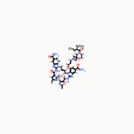 CCc1nc(C)oc1C(=O)Nc1nc2cc(C(N)=O)cc(OCCCN3CC4(C3)CN(C(=O)[C@H](CC(C)C)NC)CCO4)c2n1C/C=C/Cn1c(NC(=O)c2cc(C)nn2CC)nc2cc(C(N)=O)cnc21